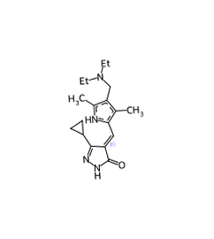 CCN(CC)Cc1c(C)[nH]c(/C=C2/C(=O)NN=C2C2CC2)c1C